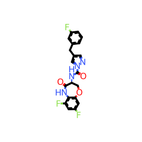 O=C1Nc2c(F)cc(F)cc2OC[C@@H]1NC(=O)n1cc(Cc2cccc(F)c2)cn1